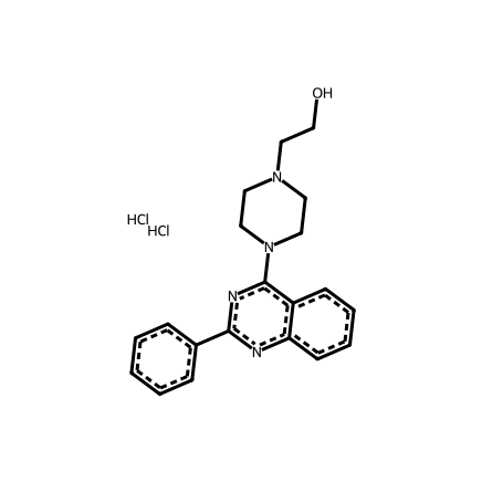 Cl.Cl.OCCN1CCN(c2nc(-c3ccccc3)nc3ccccc23)CC1